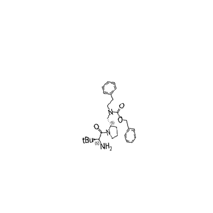 CC(C)(C)[C@H](N)C(=O)N1CCC[C@H]1CN(CCc1ccccc1)C(=O)OCc1ccccc1